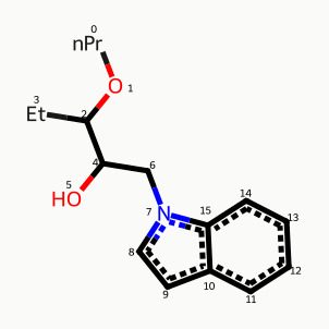 CCCOC(CC)C(O)Cn1ccc2ccccc21